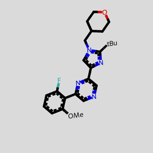 COc1cccc(F)c1-c1cncc(-c2cn(CC3CCOCC3)c(C(C)(C)C)n2)n1